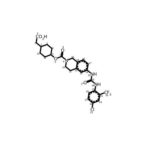 O=C(O)CC1CCC(OC(=O)N2CCc3cc(NC(=O)Nc4ccc(Cl)cc4C(F)(F)F)ccc3C2)CC1